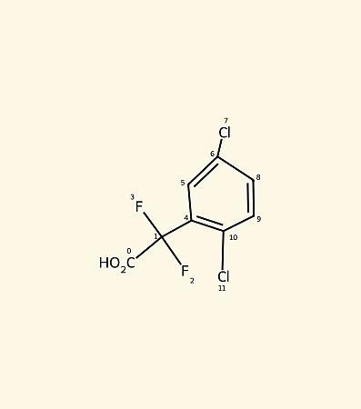 O=C(O)C(F)(F)c1cc(Cl)ccc1Cl